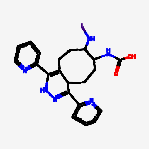 O=C(O)NC1CCC2C(c3ccccn3)=NNC(c3ccccn3)=C2CCC1NI